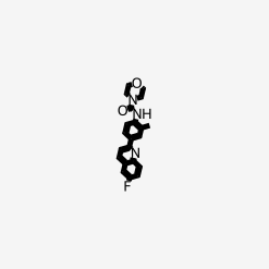 Cc1cc(-c2ccc3cc(F)ccc3n2)ccc1NC(=O)N1CCOCC1